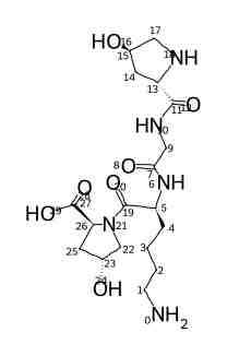 NCCCC[C@H](NC(=O)CNC(=O)[C@@H]1C[C@@H](O)CN1)C(=O)N1C[C@H](O)C[C@H]1C(=O)O